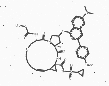 COc1ccc(-c2cc3cc(N(C)C)ccc3c(OC3C[C@H]4C(=O)N[C@]5(C(=O)NS(=O)(=O)C6CC6)CC5/C=C\CCCOC[C@H](NC(=O)OC(C)(C)C)C(=O)N4C3)n2)cc1